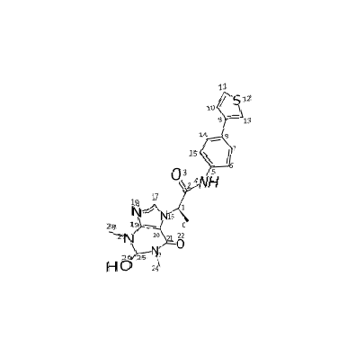 C[C@H](C(=O)Nc1ccc(-c2ccsc2)cc1)n1cnc2c1C(=O)N(C)C(O)N2C